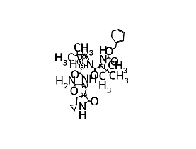 CC(C)(C)[C@H](NC(=O)OCc1ccccc1)C(=O)N1C[C@H]2[C@@H]([C@H]1C(=O)N[C@@H](C[C@@H]1CC3(CC3)NC1=O)C(N)=O)C2(C)C